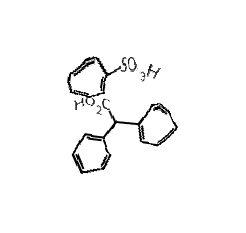 O=C(O)C(c1ccccc1)c1ccccc1.O=S(=O)(O)c1ccccc1